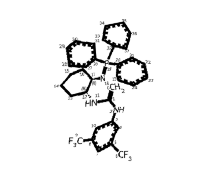 C=C(Nc1cc(C(F)(F)F)cc(C(F)(F)F)c1)N[C@@H]1CCCC[C@H]1N=P(c1ccccc1)(c1ccccc1)c1ccccc1